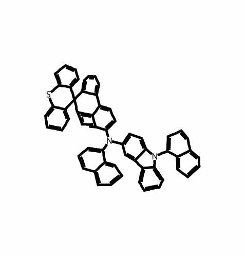 c1ccc2c(c1)Sc1ccccc1C21c2ccccc2-c2ccc(N(c3ccc4c(c3)c3ccccc3n4-c3cccc4ccccc34)c3cccc4ccccc34)c3cccc1c23